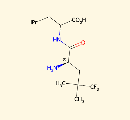 CC(C)CC(NC(=O)[C@H](N)CC(C)(C)C(F)(F)F)C(=O)O